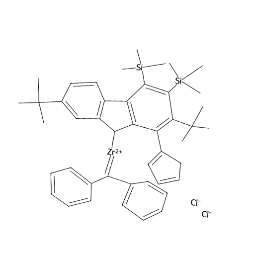 CC(C)(C)c1ccc2c(c1)[CH]([Zr+2]=[C](c1ccccc1)c1ccccc1)c1c(C3=CC=CC3)c(C(C)(C)C)c([Si](C)(C)C)c([Si](C)(C)C)c1-2.[Cl-].[Cl-]